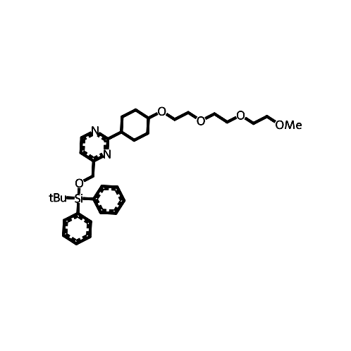 COCCOCCOCCOC1CCC(c2nccc(CO[Si](c3ccccc3)(c3ccccc3)C(C)(C)C)n2)CC1